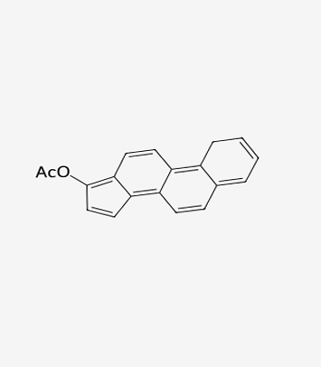 CC(=O)OC1=c2ccc3c4c(ccc3c2C=C1)=CC=CC4